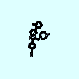 Cc1ccccc1-c1ccc2nc(-c3ccc(C#N)cc3)c(CN3CCCN(C)CC3)n2c1